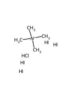 C[N+](C)(C)C.Cl.I.I.I.I